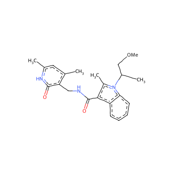 COCC(C)n1c(C)c(C(=O)NCc2c(C)cc(C)[nH]c2=O)c2ccccc21